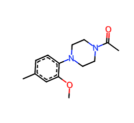 COc1cc(C)ccc1N1CCN(C(C)=O)CC1